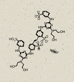 O=S(=O)([O-])c1cccc(Nc2nc(Nc3ccc(/C=C/c4ccc(Nc5nc(Nc6cccc(S(=O)(=O)O)c6)nc(N(CCO)CCO)n5)cc4S(=O)(=O)[O-])c(S(=O)(=O)[O-])c3)nc(N(CCO)CCO)n2)c1.[Na+].[Na+].[Na+]